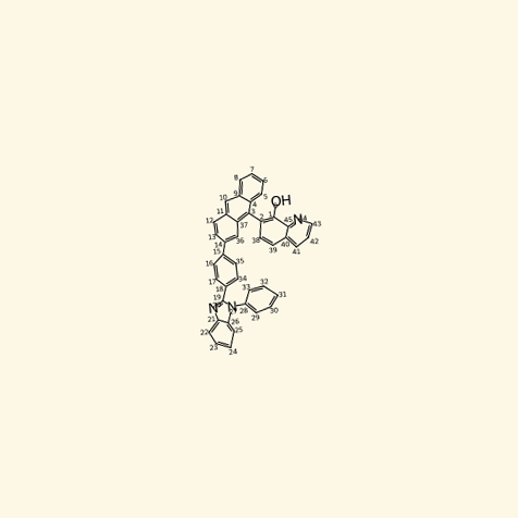 Oc1c(-c2c3ccccc3cc3ccc(-c4ccc(-c5nc6ccccc6n5-c5ccccc5)cc4)cc23)ccc2cccnc12